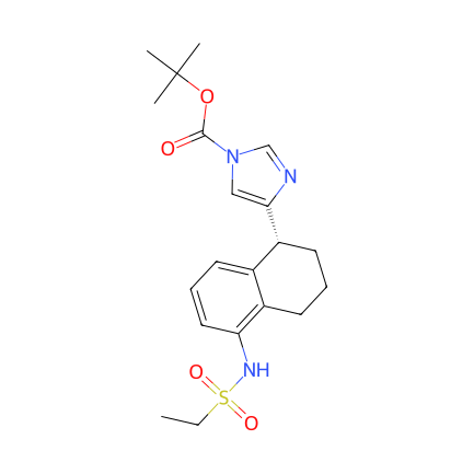 CCS(=O)(=O)Nc1cccc2c1CCC[C@H]2c1cn(C(=O)OC(C)(C)C)cn1